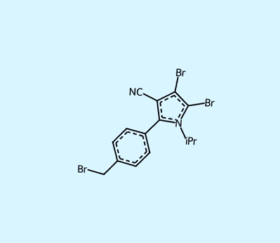 CC(C)n1c(Br)c(Br)c(C#N)c1-c1ccc(CBr)cc1